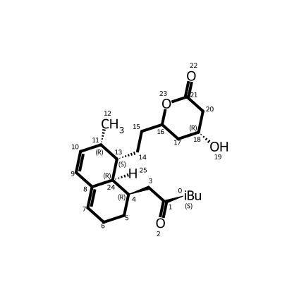 CC[C@H](C)C(=O)C[C@H]1CCC=C2C=C[C@H](C)[C@H](CCC3C[C@@H](O)CC(=O)O3)[C@H]21